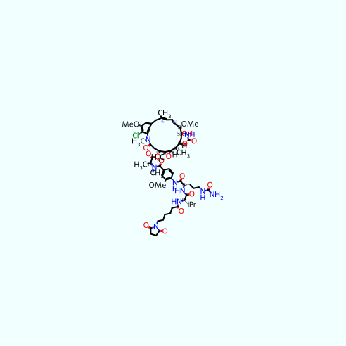 COc1cc(C(=O)N(C)[C@@H](C)C(=O)O[C@H]2CC(=O)N(C)c3cc(cc(OC)c3Cl)C/C(C)=C/C=C/[C@@H](OC)[C@@]3(O)C[C@H](OC(=O)N3)[C@@H](C)[C@@H]3O[C@@]23C)ccc1NC(=O)[C@H](CCCNC(N)=O)NC(=O)[C@@H](NC(=O)CCCCCN1C(=O)CCC1=O)C(C)C